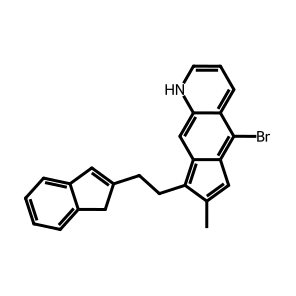 Cc1cc2c(Br)c3ccc[nH]c3cc2c1CCC1=Cc2ccccc2C1